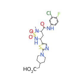 CN1C(C(=O)Nc2ccc(F)c(Cl)c2)CC(c2cnc(N3CCC(CC(=O)O)CC3)s2)NS1(=O)=O